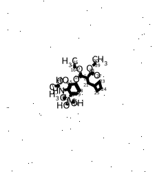 CC(=O)Nc1c(O)cccc1[As](=O)(O)O.CCOC(=O)C(CC1CCC1)C(=O)OCC